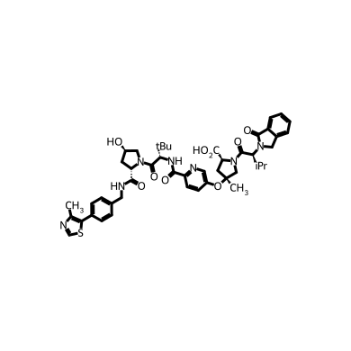 Cc1ncsc1-c1ccc(CNC(=O)[C@@H]2C[C@@H](O)CN2C(=O)[C@@H](NC(=O)c2ccc(O[C@]3(C)C[C@@H](C(=O)O)N(C(=O)[C@H](C(C)C)N4Cc5ccccc5C4=O)C3)cn2)C(C)(C)C)cc1